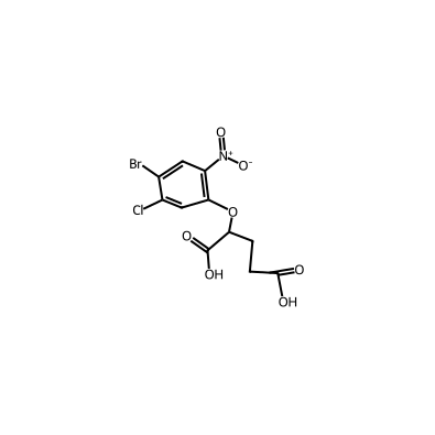 O=C(O)CCC(Oc1cc(Cl)c(Br)cc1[N+](=O)[O-])C(=O)O